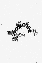 CN(C)C1CCN(C(=O)c2ccc(NC(=O)Nc3ccc(-c4nc(N5C6CCC5COC6)nc(N5[C@H](CO)CC[C@@H]5CO)n4)cc3)cc2)CC1